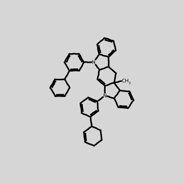 CC12CC3c4ccccc4N(c4cccc(C5C=CC=CC5)c4)C3C=C1N(c1cccc(C3C=CCCC3)c1)C1C=CC=CC12